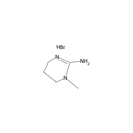 Br.CN1CCCN=C1N